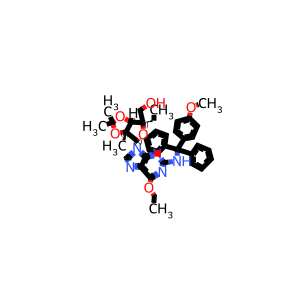 CCOc1nc(NC(c2ccccc2)(c2ccccc2)c2ccc(OC)cc2)nc2c1ncn2[C@@H]1O[C@](CC)(CO)[C@H]2OC(C)(C)O[C@]21C